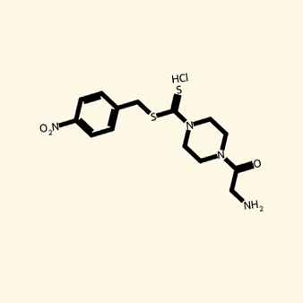 Cl.NCC(=O)N1CCN(C(=S)SCc2ccc([N+](=O)[O-])cc2)CC1